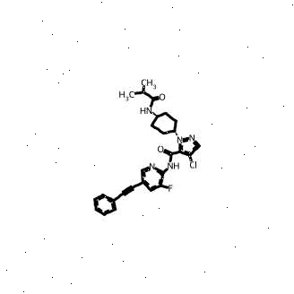 CC(C)C(=O)N[C@H]1CC[C@H](n2ncc(Cl)c2C(=O)Nc2ncc(C#Cc3ccccc3)cc2F)CC1